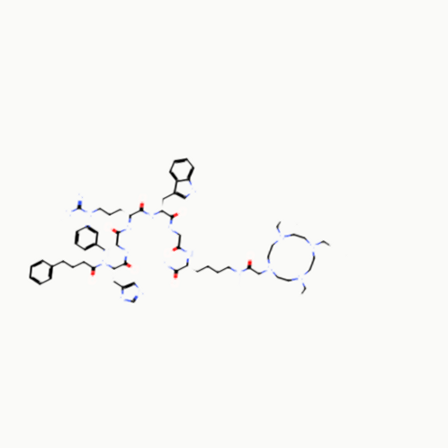 N=C(N)NCCC[C@H](NC(=O)[C@@H](Cc1ccccc1)NC(=O)[C@H](Cc1cnc[nH]1)NC(=O)CCCc1ccccc1)C(=O)N[C@@H](Cc1c[nH]c2ccccc12)C(=O)NCC(=O)N[C@@H](CCCCNC(=O)CN1CCN(CC(=O)O)CCN(CC(=O)O)CCN(CC(=O)O)CC1)C(N)=O